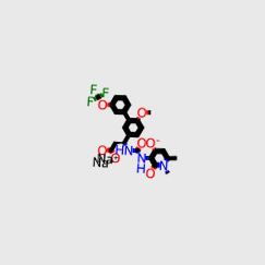 COc1ccc([C@H](CC(=O)[O-])NC(=O)Nc2c([O-])cc(C)n(C)c2=O)cc1-c1cccc(OC(F)(F)F)c1.[Na+].[Na+]